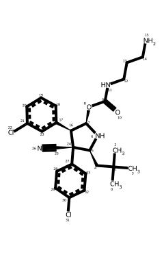 CC(C)(C)C[C@@H]1N[C@H](OC(=O)NCCCN)[C@H](c2cccc(Cl)c2)[C@@]1(C#N)c1ccc(Cl)cc1